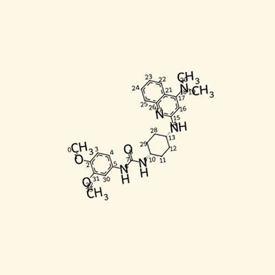 COc1ccc(NC(=O)N[C@H]2CC[C@@H](Nc3cc(N(C)C)c4ccccc4n3)CC2)cc1OC